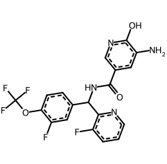 Nc1cc(C(=O)NC(c2ccc(OC(F)(F)F)c(F)c2)c2ncccc2F)cnc1O